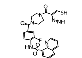 N=N/C(=C\S)C(=O)N1CCN(C(=O)c2ccc(NS(=O)(=O)c3cccc4cccnc34)c(F)c2)CC1